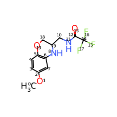 COc1ccc2c(c1)NC(CNC(=O)C(F)(F)F)CO2